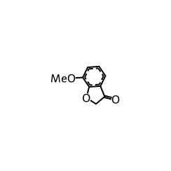 COc1cccc2c1OCC2=O